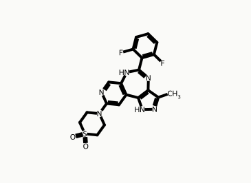 Cc1n[nH]c2c1N=C(c1c(F)cccc1F)Nc1cnc(N3CCS(=O)(=O)CC3)cc1-2